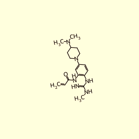 C=CC(=O)Nc1cc(N2CCC(N(C)C)CC2)ccc1NC(=N)NC